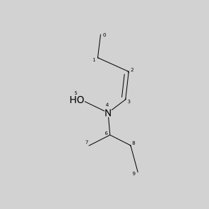 CC/C=C\N(O)C(C)CC